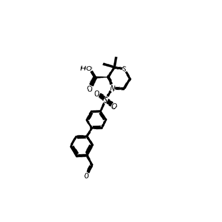 CC1(C)SCCN(S(=O)(=O)c2ccc(-c3cccc(C=O)c3)cc2)[C@H]1C(=O)O